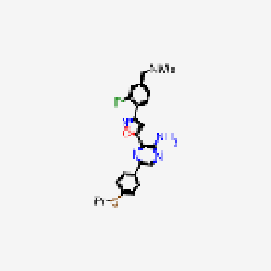 CNCc1ccc(-c2cc(-c3nc(-c4ccc(SC(C)C)cc4)cnc3N)on2)c(F)c1